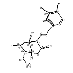 Cc1ccc(CCN2C(=O)C[C@@H]3[C@H](C[N+](=O)[O-])[C@@H](C)C[C@@H]32)cc1C